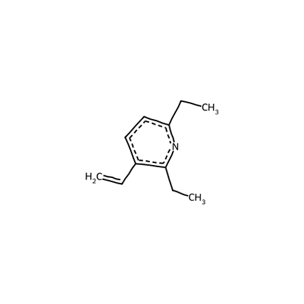 C=Cc1ccc(CC)nc1CC